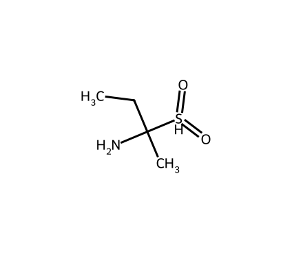 CCC(C)(N)[SH](=O)=O